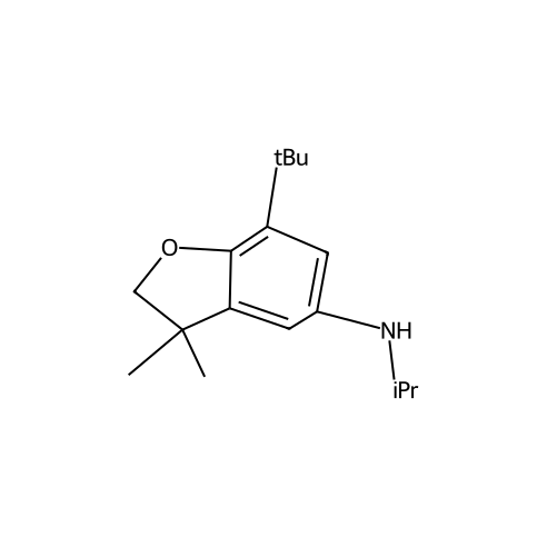 CC(C)Nc1cc(C(C)(C)C)c2c(c1)C(C)(C)CO2